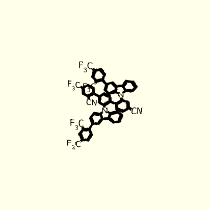 N#Cc1ccc(-c2ccc(-c3ccc(C(F)(F)F)cc3C#N)cc2-n2c3ccccc3c3cc(-c4ccc(C(F)(F)F)cc4C(F)(F)F)ccc32)c(-n2c3ccccc3c3cc(-c4ccc(C(F)(F)F)cc4C(F)(F)F)ccc32)c1